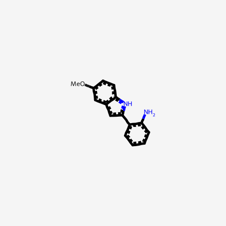 COc1ccc2[nH]c(-c3ccccc3N)cc2c1